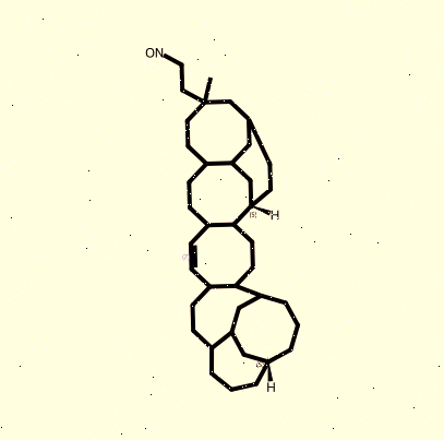 CC1(CCN=O)CCC2CCC3/C=C\C4CCC5CCC[C@H]6CCCC(CC5C6)C4CCC3[C@H]3CCC(CC2C3)C1